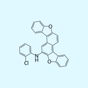 Clc1ccccc1Nc1cc2c(ccc3oc4ccccc4c32)c2c1oc1ccccc12